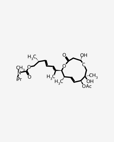 CC(=O)O[C@H]1/C=C/[C@H](C)[C@@H](/C(C)=C/C=C/[C@@H](C)COC(=O)N(C)C(C)C)OC(=O)C[C@H](O)CC[C@@]1(C)O